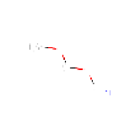 N.[SiH3]O[SiH2]O[SiH3]